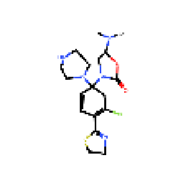 CC(=O)N(C)C1CN(C2(N3CCNCC3)C=CC(C3=NCCS3)=C(F)C2)C(=O)O1